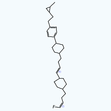 CC1CC1CCc1ccc(C2CCC(CC/C=C/C3CCC(CC/C=C\F)CC3)CC2)cc1